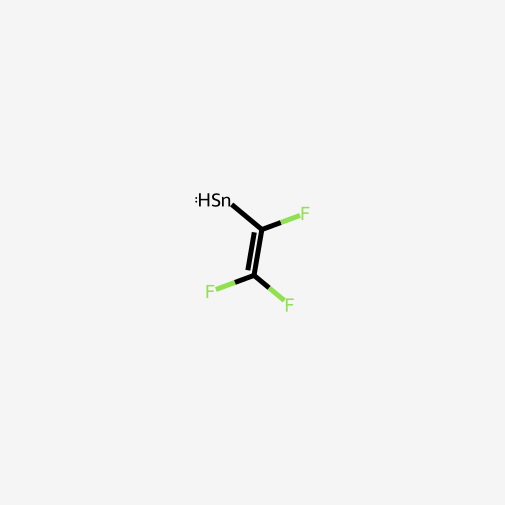 FC(F)=[C](F)[SnH]